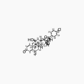 C[C@]12C=CC(=O)C=C1[C@@H](F)C[C@H]1[C@@H]3C[C@H]4CN(c5ccc(Cl)cc5)O[C@@]4(C(=O)O)[C@@]3(C)C[C@H](O)[C@@]12F